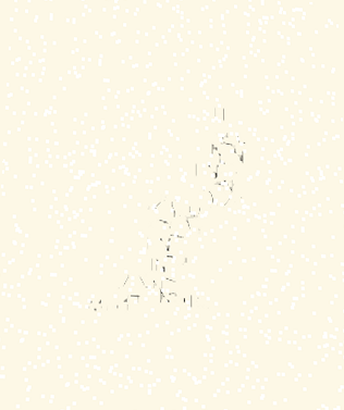 COc1cccc(-n2nc(C(C)(C)C)cc2NC(=O)Nc2ccc(OCc3ccnc(Nc4cnc(C)c(C)n4)c3)c3ccccc23)c1